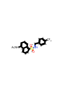 CC(=O)Nc1cccc2c(S(=O)(=O)NCc3ccc(C(F)(F)F)cc3)cccc12